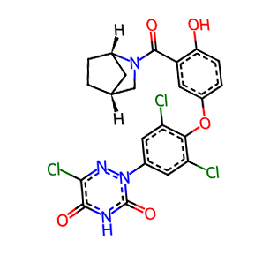 O=C(c1cc(Oc2c(Cl)cc(-n3nc(Cl)c(=O)[nH]c3=O)cc2Cl)ccc1O)N1C[C@@H]2CC[C@H]1C2